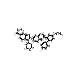 COc1ccc(-c2ccc(F)cc2)c(-c2ccc3cc(-c4nc5cc(C(N)=O)ccc5n4C4CCCCC4)ccc3n2)c1